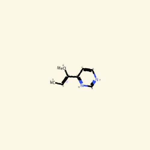 CO/C(=C\C#N)c1ccncn1